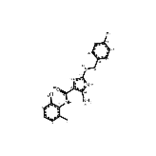 Cc1cccc(Cl)c1NC(=O)c1sc(SCc2ccc(F)cc2)nc1N